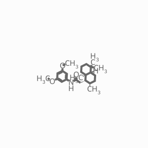 COc1cc(NC(=O)C[C@H]2[C@@H](C)CC[C@H]3C(C)(C)CCC[C@]23C)cc(OC)c1